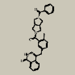 O=C(c1ccccc1)N1CC2CN(C(=O)c3cc(Cc4n[nH]c(=O)c5ccccc45)ccc3F)CC2C1